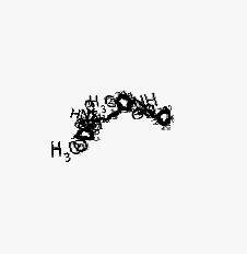 COc1ccc(S(=O)(=O)C2(CCCC#Cc3cc(NC(=O)OCc4ccccc4)ccc3C)SC(=O)NC2=O)cc1